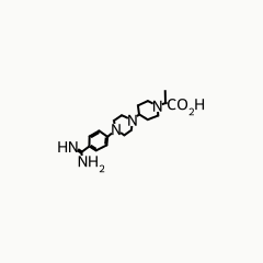 CC(C(=O)O)N1CCC(N2CCN(c3ccc(C(=N)N)cc3)CC2)CC1